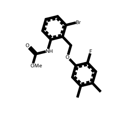 COC(=O)Nc1cccc(Br)c1COc1cc(C)c(C)cc1F